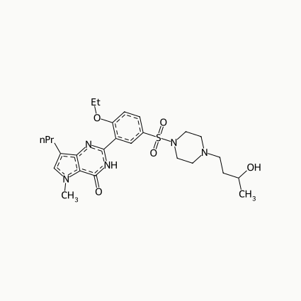 CCCc1cn(C)c2c(=O)[nH]c(-c3cc(S(=O)(=O)N4CCN(CCC(C)O)CC4)ccc3OCC)nc12